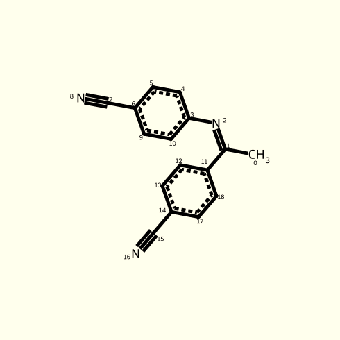 CC(=Nc1ccc(C#N)cc1)c1ccc(C#N)cc1